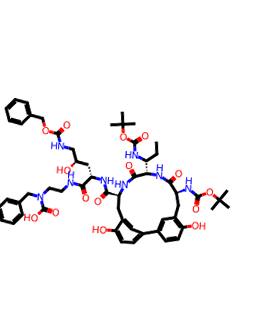 CCC(NC(=O)OC(C)(C)C)[C@@H]1NC(=O)[C@@H](NC(=O)OC(C)(C)C)Cc2cc(ccc2O)-c2ccc(O)c(c2)C[C@@H](C(=O)N[C@@H](C[C@@H](O)CNC(=O)OCc2ccccc2)C(=O)NCCN(Cc2ccccc2)C(=O)O)NC1=O